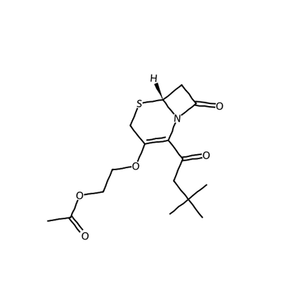 CC(=O)OCCOC1=C(C(=O)CC(C)(C)C)N2C(=O)C[C@H]2SC1